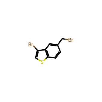 BrCc1ccc2scc(Br)c2c1